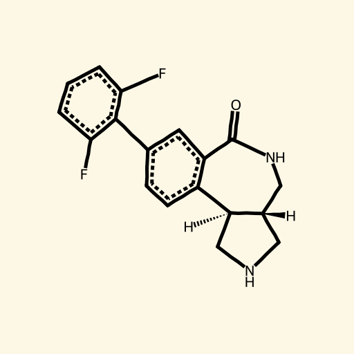 O=C1NC[C@@H]2CNC[C@H]2c2ccc(-c3c(F)cccc3F)cc21